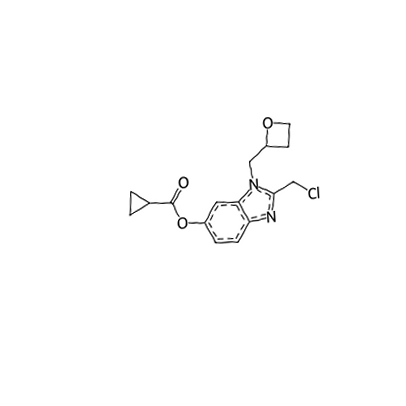 O=C(Oc1ccc2nc(CCl)n(CC3CCO3)c2c1)C1CC1